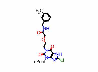 CCCCCn1c(=O)n(CCOCC(=O)NCc2cccc(C(F)(F)F)c2)c(=O)c2[nH]c(Cl)nc21